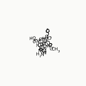 COc1ccc(C[C@H](NC(=O)OCc2ccccc2)C(=O)N[C@H]2[C@@H](O)[C@H](n3cnc4c(N)ncnc43)O[C@@H]2C(=O)NCC(=O)O)cc1